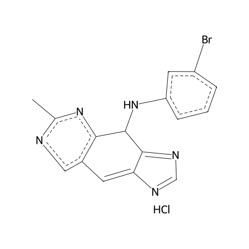 Cc1ncc2c(n1)C(Nc1cccc(Br)c1)C1=NC=NC1=C2.Cl